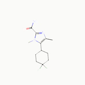 Cc1nc(C(N)=O)n(C)c1C1CCC(F)(F)CC1